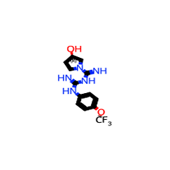 N=C(NC(=N)N1CC[C@@H](O)C1)Nc1ccc(OC(F)(F)F)cc1